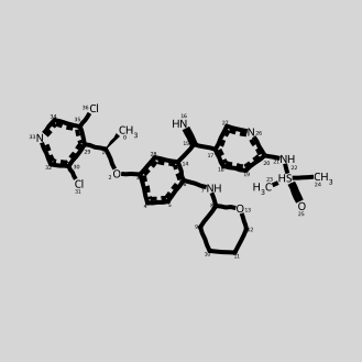 C[C@@H](Oc1ccc(NC2CCCCO2)c(C(=N)c2ccc(N[SH](C)(C)=O)nc2)c1)c1c(Cl)cncc1Cl